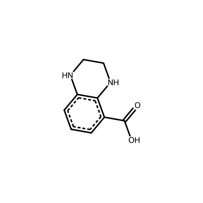 O=C(O)c1cccc2c1NCCN2